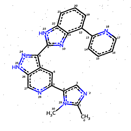 Cc1ncc(-c2cc3c(-c4nc5c(-c6ccccn6)cccc5[nH]4)n[nH]c3cn2)n1C